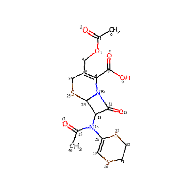 CC(=O)OCC1=C(C(=O)O)N2C(=O)C(N(C(C)=O)C3=CSCCS3)C2SC1